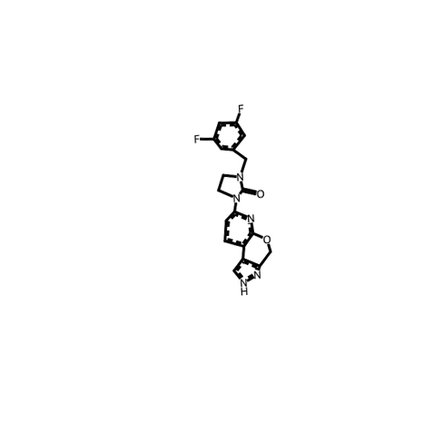 O=C1N(Cc2cc(F)cc(F)c2)CCN1c1ccc2c(n1)OCc1n[nH]cc1-2